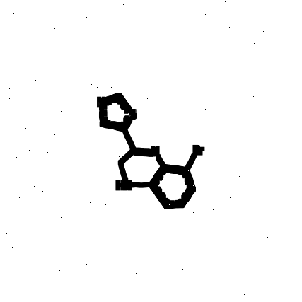 Brc1cccc2c1N=C(c1cncs1)CN2